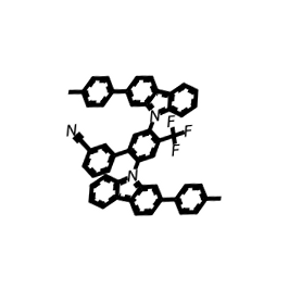 Cc1ccc(-c2ccc3c4ccccc4n(-c4cc(C(F)(F)F)c(-n5c6ccccc6c6ccc(-c7ccc(C)cc7)cc65)cc4-c4cccc(C#N)c4)c3c2)cc1